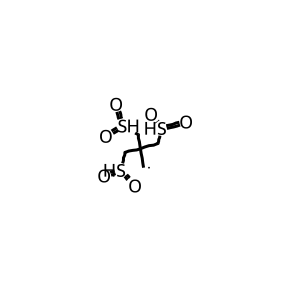 [CH2]C(C[SH](=O)=O)(C[SH](=O)=O)C[SH](=O)=O